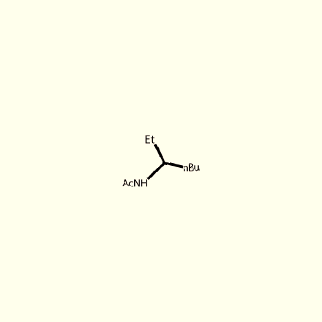 CCCCC(CC)NC(C)=O